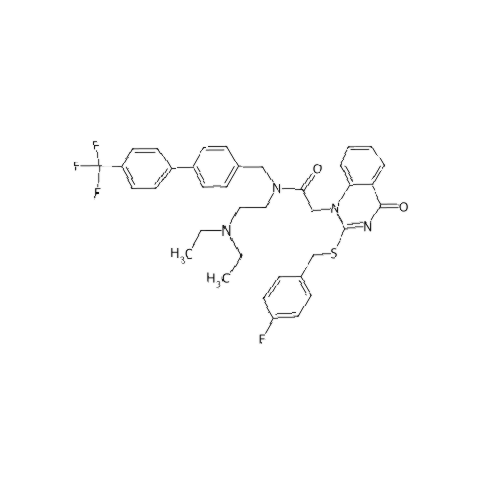 CCN(CC)CCN(Cc1ccc(-c2ccc(C(F)(F)F)cc2)cc1)C(=O)Cn1c(SCc2ccc(F)cc2)nc(=O)c2ccccc21